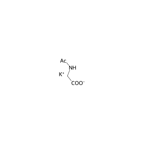 CC(=O)NCC(=O)[O-].[K+]